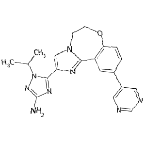 CC(C)n1nc(N)nc1-c1cn2c(n1)-c1cc(-c3cncnc3)ccc1OCC2